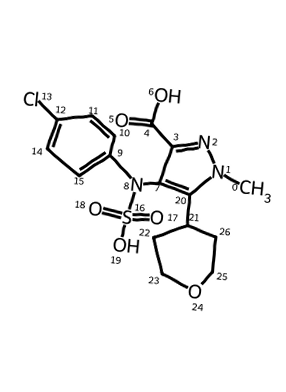 Cn1nc(C(=O)O)c(N(c2ccc(Cl)cc2)S(=O)(=O)O)c1C1CCOCC1